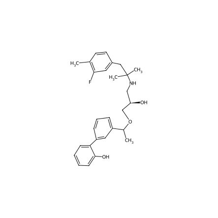 Cc1ccc(CC(C)(C)NC[C@@H](O)COC(C)c2cccc(-c3ccccc3O)c2)cc1F